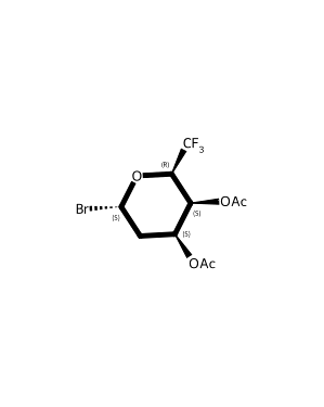 CC(=O)O[C@H]1[C@@H](OC(C)=O)C[C@H](Br)O[C@H]1C(F)(F)F